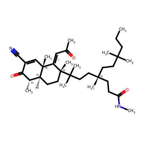 CCCC(C)(C)CC[C@](C)(CCC(=O)NC)CCC(C)(C)[C@]1(C)CC[C@H]2[C@H](C)C(=O)C(C#N)=C[C@]2(C)/C1=C/C(C)=O